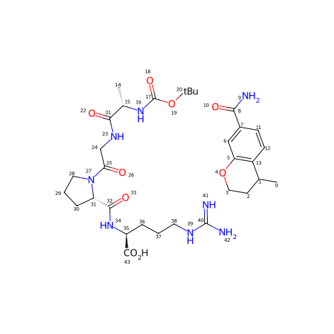 CC1CCOc2cc(C(N)=O)ccc21.C[C@H](NC(=O)OC(C)(C)C)C(=O)NCC(=O)N1CCC[C@H]1C(=O)N[C@@H](CCCNC(=N)N)C(=O)O